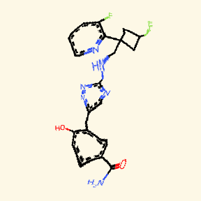 NC(=O)c1ccc(O)c(-c2cnc(NCC3(c4ncccc4F)CC(F)C3)nn2)c1